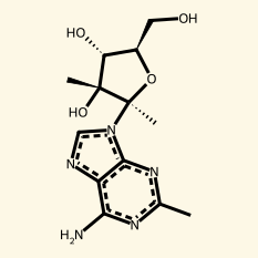 Cc1nc(N)c2ncn([C@]3(C)O[C@H](CO)[C@@H](O)[C@@]3(C)O)c2n1